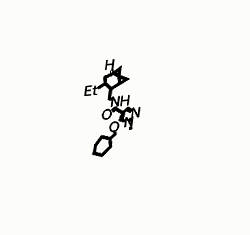 CCC1C[C@H]2CC23CC3C1CNC(=O)c1cnn(C)c1OCC1CCCCC1